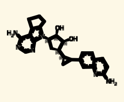 Nc1ccc2ccc(C3C[C@H]3[C@H]3C[C@@H](n4c5c(c6c(N)ncnc64)CCC5)[C@@H](O)[C@H]3O)cc2n1